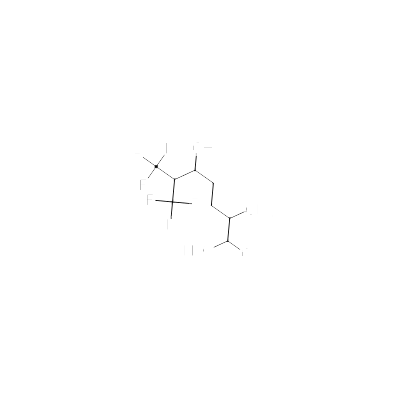 CC(C)C(C)CCC(C)C(C(F)(F)F)C(F)(F)F